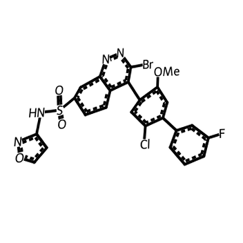 COc1cc(-c2cccc(F)c2)c(Cl)cc1-c1c(Br)nnc2cc(S(=O)(=O)Nc3ccon3)ccc12